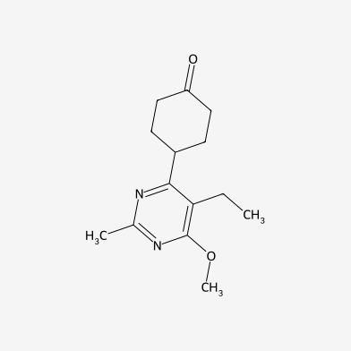 CCc1c(OC)nc(C)nc1C1CCC(=O)CC1